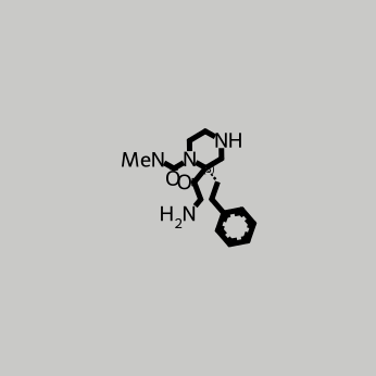 CNC(=O)N1CCNC[C@@]1(CCc1ccccc1)C(=O)CN